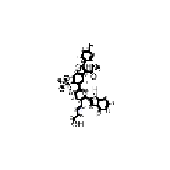 CNC(=O)c1c(-c2ccc(F)cc2)oc2cc(N(C)S(C)(=O)=O)c(-c3ccc(/C=C/CCO)c(-c4cc5c(F)cccc5[nH]4)n3)cc12